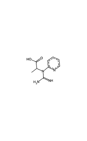 CC(C(=O)O)N(C(=N)N)c1ccccn1